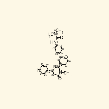 CN(C)C(=O)Nc1ccc([C@H]2CN(c3nc(-c4ccncc4)cc(=O)n3C)CCO2)cc1